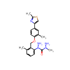 Cc1nc(-c2ccc(OCc3c(C)cccc3N(N)C(=O)N(C)N)c(C)c2)cs1